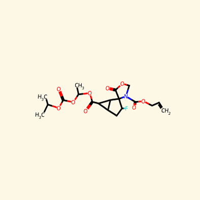 C=CCOC(=O)N1COC(=O)C12C(F)CC1C(C(=O)OC(C)OC(=O)OC(C)C)C12